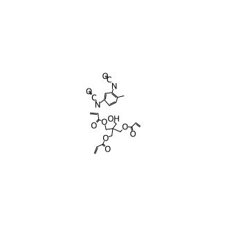 C=CC(=O)OCC(CO)(COC(=O)C=C)COC(=O)C=C.Cc1ccc(N=C=O)cc1N=C=O